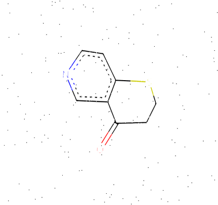 O=C1CCSc2ccncc21